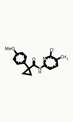 COc1ccc(C2(C(=O)Nc3ccc(C)c(Cl)n3)CC2)cc1